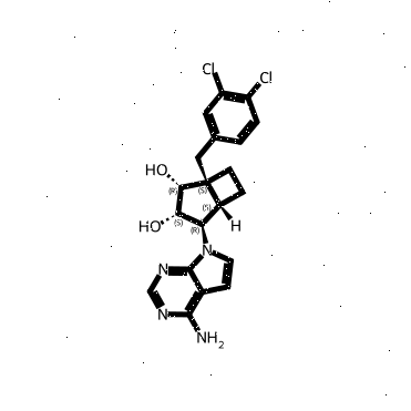 Nc1ncnc2c1ccn2[C@H]1[C@H](O)[C@H](O)[C@]2(Cc3ccc(Cl)c(Cl)c3)CC[C@H]12